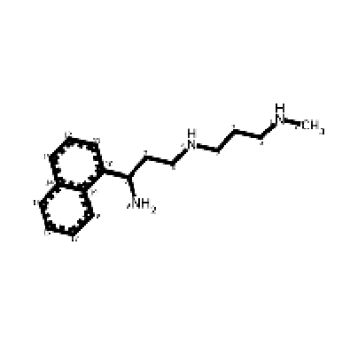 CNCCCNCCC(N)c1cccc2ccccc12